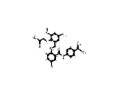 COc1cc(N)cc(CNc2ccc(C)cc2C(=O)Nc2ccc(C(=N)N)cc2)c1OCC(=O)O